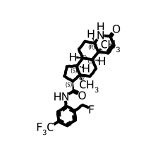 C[C@]12C=CC(=O)N[C@@H]1CC[C@@H]1[C@@H]2CC[C@]2(C)[C@@H](C(=O)Nc3cc(C(F)(F)F)ccc3CF)CC[C@@H]12